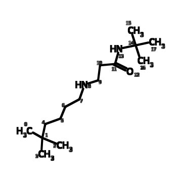 CC(C)(C)CCCCNCCC(=O)NC(C)(C)C